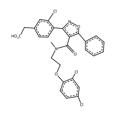 CN(CCOc1ccc(Cl)cc1Cl)C(=O)c1c(-c2ccc(CC(=O)O)cc2Cl)noc1-c1ccccc1